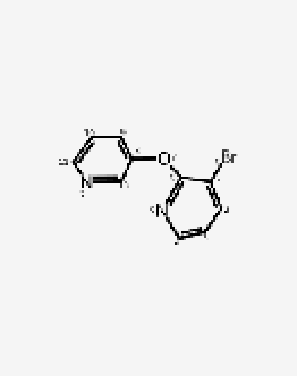 Brc1cccnc1Oc1cccnc1